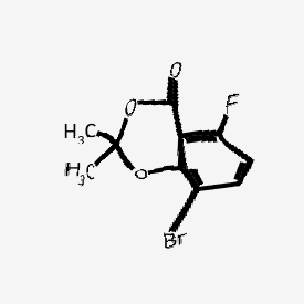 CC1(C)OC(=O)c2c(F)ccc(Br)c2O1